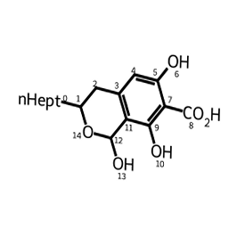 CCCCCCCC1Cc2cc(O)c(C(=O)O)c(O)c2C(O)O1